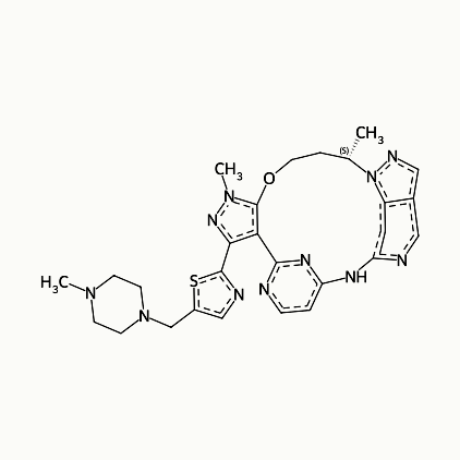 C[C@H]1CCOc2c(c(-c3ncc(CN4CCN(C)CC4)s3)nn2C)-c2nccc(n2)Nc2cc3c(cn2)cnn31